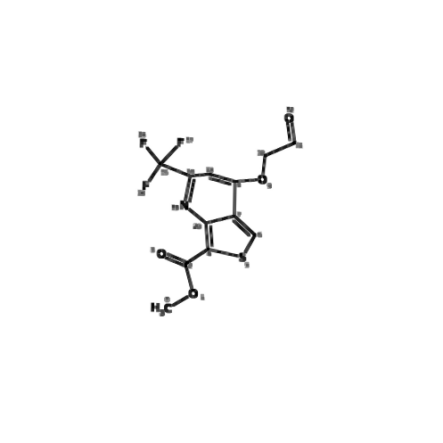 COC(=O)c1scc2c(OCC=O)cc(C(F)(F)F)nc12